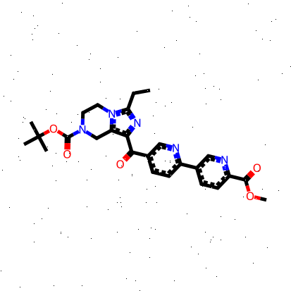 CCc1nc(C(=O)c2ccc(-c3ccc(C(=O)OC)nc3)nc2)c2n1CCN(C(=O)OC(C)(C)C)C2